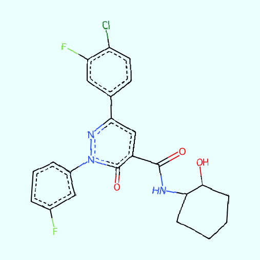 O=C(NC1CCCCC1O)c1cc(-c2ccc(Cl)c(F)c2)nn(-c2cccc(F)c2)c1=O